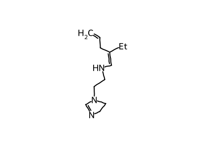 C=CCC(=CNCCN1C=NCC1)CC